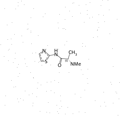 CN[C@@H](C)C(=O)Nc1nccs1